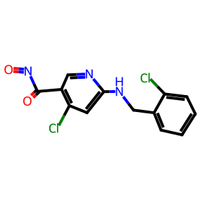 O=NC(=O)c1cnc(NCc2ccccc2Cl)cc1Cl